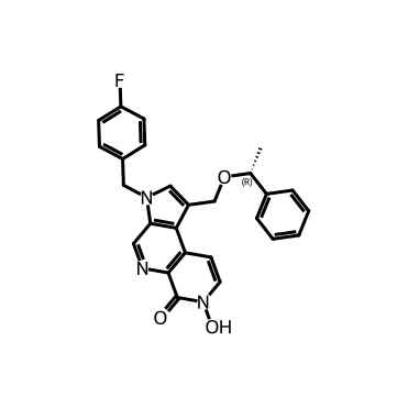 C[C@@H](OCc1cn(Cc2ccc(F)cc2)c2cnc3c(=O)n(O)ccc3c12)c1ccccc1